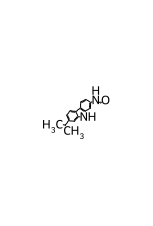 CC(C)c1ccc2c(c1)[nH]c1cc(NC=O)ccc12